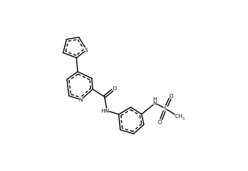 CS(=O)(=O)Nc1cccc(NC(=O)c2cc(-c3cccs3)ccn2)c1